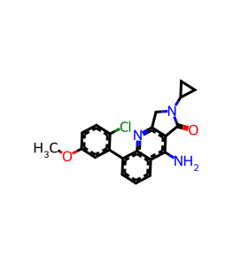 COc1ccc(Cl)c(-c2cccc3c(N)c4c(nc23)CN(C2CC2)C4=O)c1